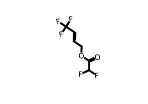 O=C(OCC=CC(F)(F)F)C(F)F